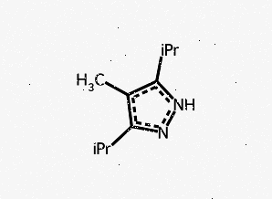 Cc1c(C(C)C)n[nH]c1C(C)C